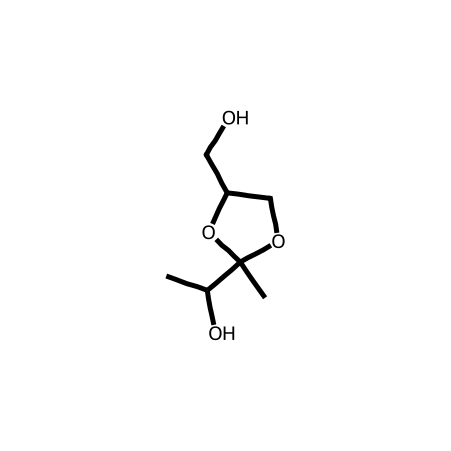 CC(O)C1(C)OCC(CO)O1